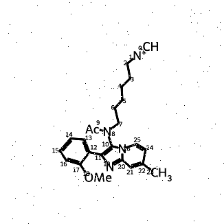 C#[N+]CCCCCCN(C(C)=O)c1c(-c2ccccc2OC)nc2cc(C)ccn12